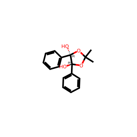 CC1(C)O[C@](O)(c2ccccc2)[C@@](O)(c2ccccc2)O1